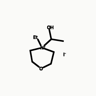 CC[N+]1(C(C)O)CCOCC1.[I-]